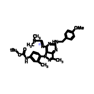 COc1ccc(CNc2nc(/N=C/N(C)C)c3c(n2)c(C)nn3-c2ccc(NC(=O)OC(C)(C)C)cc2C)cc1